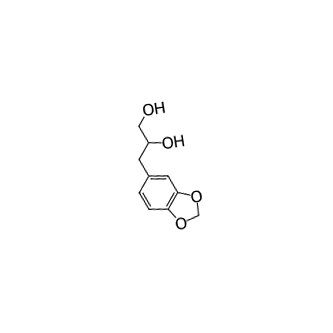 OCC(O)Cc1ccc2c(c1)OCO2